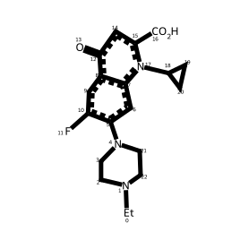 CCN1CCN(c2cc3c(cc2F)c(=O)cc(C(=O)O)n3C2CC2)CC1